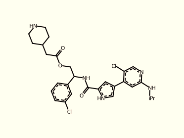 CC(C)Nc1cc(-c2c[nH]c(C(=O)NC(COC(=O)CC3CCNCC3)c3cccc(Cl)c3)c2)c(Cl)cn1